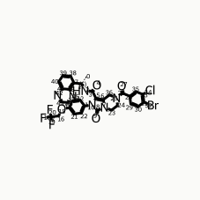 C[C@H](NC(=O)c1c2n(c(=O)n1-c1ccc(OCC(F)(F)F)cc1)CCN(C(=O)c1ccc(Br)c(Cl)c1)C2)c1cccc2nccnc12